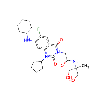 CC(CO)(CO)NC(=O)Cn1c(=O)c2cc(F)c(NC3CCCCC3)cc2n(C2CCCC2)c1=O